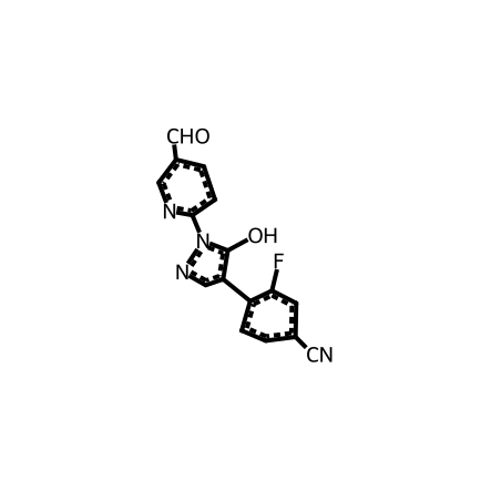 N#Cc1ccc(-c2cnn(-c3ccc(C=O)cn3)c2O)c(F)c1